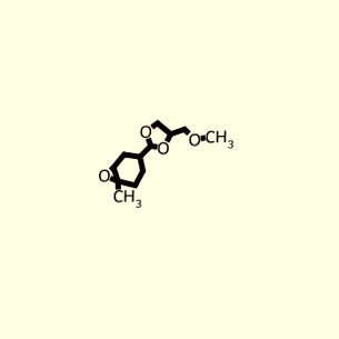 COCC1COC(C2CCC3(C)OC3C2)O1